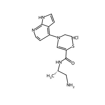 C[C@@H](CN)NC(=O)C1=CN(c2ccnc3[nH]ccc23)CCS1.Cl